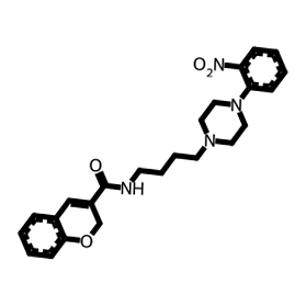 O=C(NCCCCN1CCN(c2ccccc2[N+](=O)[O-])CC1)C1=Cc2ccccc2OC1